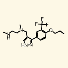 CCCOc1ccc(-c2n[nH]cc2CN(C)CCNC)cc1C(F)(F)F